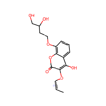 C/C=C\Oc1c(O)c2cccc(OCCC(O)CO)c2oc1=O